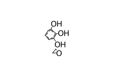 C1CO1.Oc1cccc(O)c1O